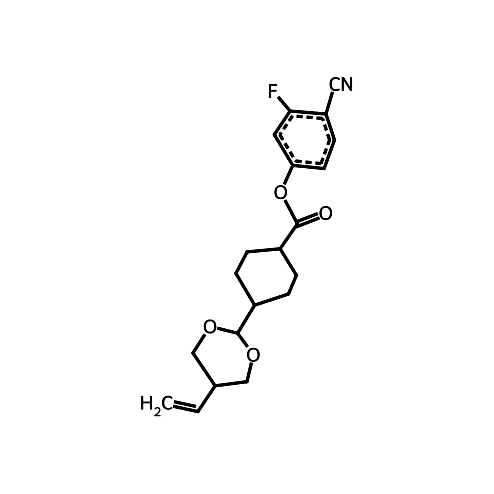 C=CC1COC(C2CCC(C(=O)Oc3ccc(C#N)c(F)c3)CC2)OC1